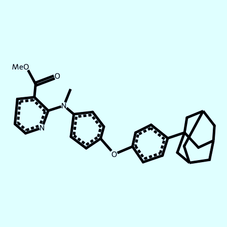 COC(=O)c1cccnc1N(C)c1ccc(Oc2ccc(C34CC5CC(CC(C5)C3)C4)cc2)cc1